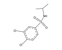 CC(C)NS(=O)(=O)c1ccc(Cl)c(Cl)c1